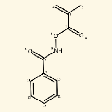 C=C(C)C(=O)ONC(=O)c1ccccc1